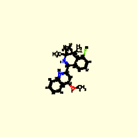 COc1cc(C2=NC(C)(C)C(C)(C)c3c(F)cccc32)nc2ccccc12